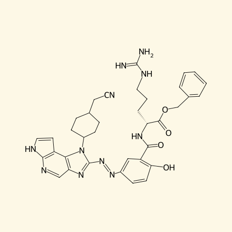 N#CCC1CCC(n2c(/N=N/c3ccc(O)c(C(=O)N[C@H](CCCNC(=N)N)C(=O)OCc4ccccc4)c3)nc3cnc4[nH]ccc4c32)CC1